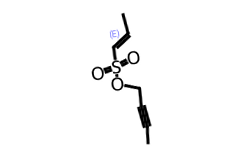 CC#CCOS(=O)(=O)/C=C/C